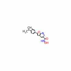 CC(C)c1ccc(-c2cc3cc(C(=O)NO)cnc3o2)cc1